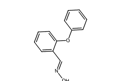 ON=Cc1ccccc1Oc1ccccc1